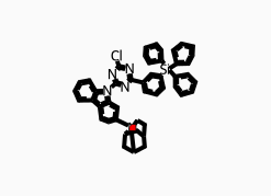 Clc1nc(-c2cccc([Si](c3ccccc3)(c3ccccc3)c3ccccc3)c2)nc(-n2c3ccccc3c3ccc(N4C5CC6CC(C5)CC4C6)cc32)n1